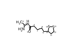 CC(N)NC(=O)CCCCC1CCSS1